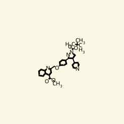 COC(=O)c1cc(COc2ccc(-c3nn(C(=O)OC(C)(C)C)cc3-c3ccncc3)cc2)nc2ccccc12